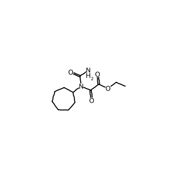 CCOC(=O)C(=O)N(C(N)=O)C1CCCCCC1